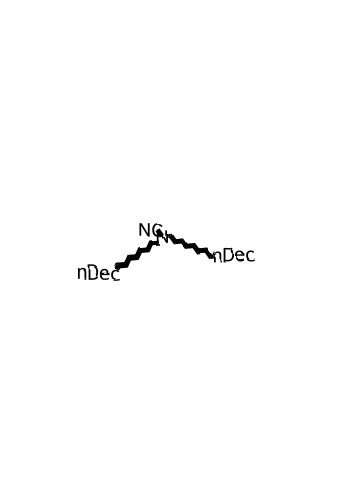 CCCCCCCCCCCCCCCCCCN(C#N)CCCCCCCCCCCCCCCCCC